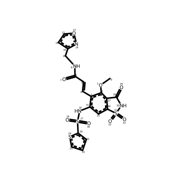 COc1c(C=CC(=O)NCc2ccon2)c(NS(=O)(=O)c2cccs2)cc2c1C(=O)NS2(=O)=O